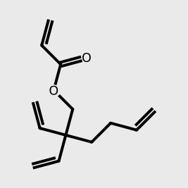 C=CCCC(C=C)(C=C)COC(=O)C=C